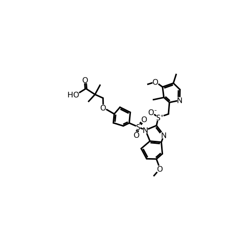 COc1ccc2c(c1)nc([S+]([O-])Cc1ncc(C)c(OC)c1C)n2S(=O)(=O)c1ccc(OCC(C)(C)C(=O)O)cc1